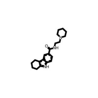 O=C(NCCN1CCCCC1)c1ccc2[nH]c3c(c2c1)CCCC3